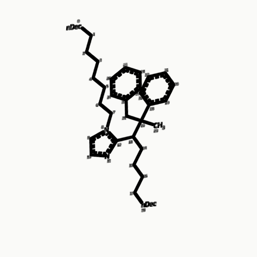 CCCCCCCCCCCCCCCCCn1ccnc1C(CCCCCCCCCCCCCC)C(C)(Cc1ccccc1)c1ccccc1